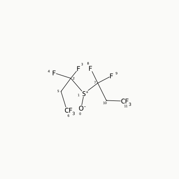 [O-][S+](C(F)(F)CC(F)(F)F)C(F)(F)CC(F)(F)F